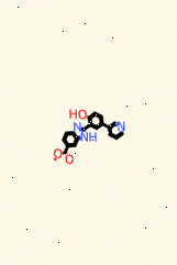 COC(=O)c1ccc2nc(-c3cc(-c4cccnc4)ccc3O)[nH]c2c1